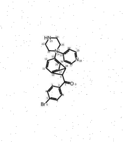 O=C(c1ccc(Br)cc1)C1c2ccc([N+]3(c4ccncc4)CCNCC3)c3c2C31